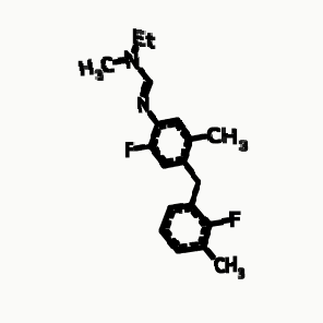 CCN(C)/C=N/c1cc(C)c(Cc2cccc(C)c2F)cc1F